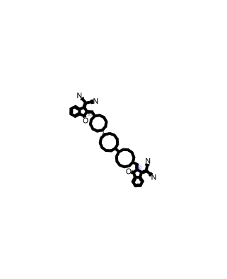 N#CC(C#N)=C1/C(=C/C2CCCCCC(C3CCCCC[C@H](C4CCCCC(/C=C5\C(=O)c6ccccc6C5=C(C#N)C#N)CCCC4)CCCC3)CCCC2)C(=O)c2ccccc21